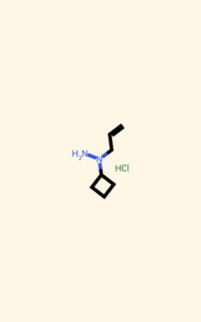 C=CCN(N)C1CCC1.Cl